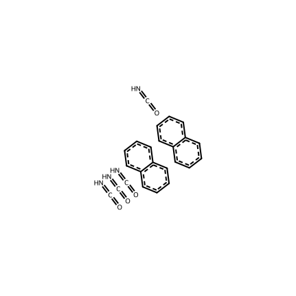 N=C=O.N=C=O.N=C=O.N=C=O.c1ccc2ccccc2c1.c1ccc2ccccc2c1